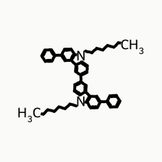 CCCCCCCCn1c2ccc(-c3ccccc3)cc2c2cc(-c3ccc4c(c3)c3cc(-c5ccccc5)ccc3n4CCCCCCCC)ccc21